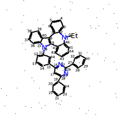 CCN1c2ccccc2-c2c(n(-c3cccc(-c4cc(-c5ccccc5)nc(-c5ccccc5)n4)c3)c3ccccc23)-c2ccccc21